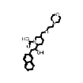 O=C(O)N1CC(COCCN2CCOCC2)CCC1C(O)Cc1ccc2ccccc2c1